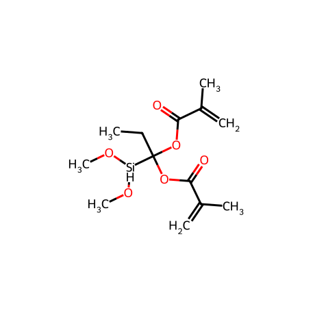 C=C(C)C(=O)OC(CC)(OC(=O)C(=C)C)[SiH](OC)OC